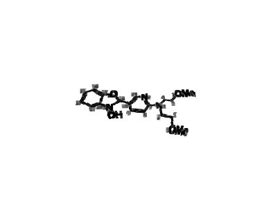 COCCN(CCOC)c1ccc(C2Oc3ccccc3N2O)cn1